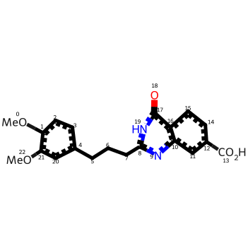 COc1ccc(CCCc2nc3cc(C(=O)O)ccc3c(=O)[nH]2)cc1OC